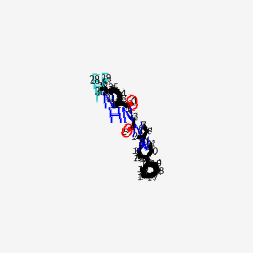 O=C(NCC(=O)N1CCC(N2CCC(c3ccccc3)CC2)C1)c1ccc(C(F)(F)F)nc1